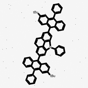 CC(C)(C)c1ccc2c(-c3cc4ccc5cc(-c6c7ccccc7c(-c7ccccc7)c7cc(C(C)(C)C)ccc67)cc6c5c4c(c3)n6-c3ccccc3)c3ccccc3c(-c3ccccc3)c2c1